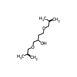 C=C(C)COCCC(O)COCC(=C)C